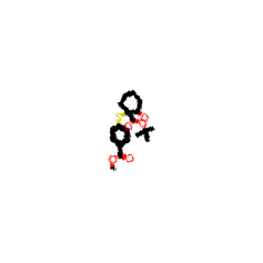 COC(=O)c1ccc(SC2(C(=O)OC(C)(C)C)CCCCC2=O)cc1